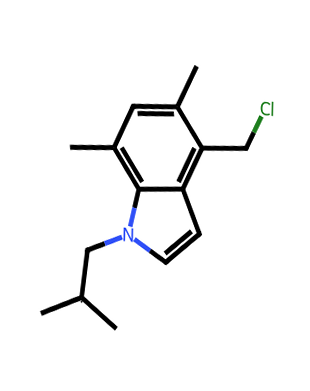 C[C](C)Cn1ccc2c(CCl)c(C)cc(C)c21